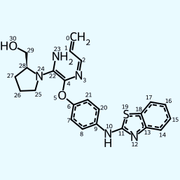 C=C/C=N\C(Oc1ccc(Nc2nc3ccccc3s2)cc1)=C(/N)N1CCC[C@H]1CO